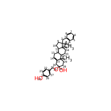 CC(=O)C1(Cc2ccccc2)CCC2C3CC=C4CC(O)(OCc5ccc(O)cc5)CCC4(C)C3CCC21C